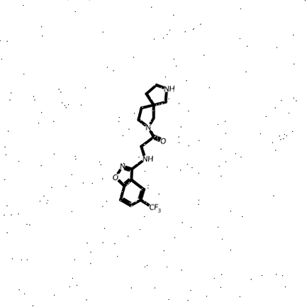 O=C(CNc1noc2ccc(C(F)(F)F)cc12)N1CCC2(CCNC2)C1